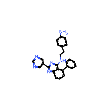 Nc1ccc(CCNc2nc(-c3cncnc3)nc3cccc(-c4ccccc4)c23)cc1